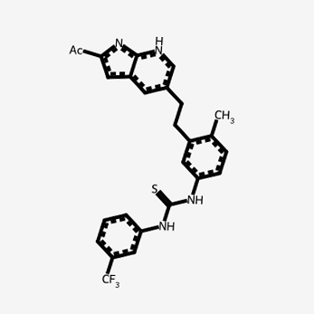 CC(=O)c1cc2cc(CCc3cc(NC(=S)Nc4cccc(C(F)(F)F)c4)ccc3C)c[nH]c-2n1